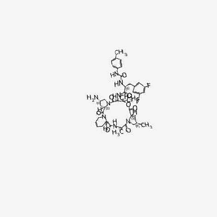 Cc1ccc(NC(=O)N[C@@H](Cc2cc(F)cc(F)c2)C(=O)N[C@@H]2C(=O)N3C[C@@H](N)C[C@H]3C(=O)N3CCCC[C@H]3C(=O)N[C@@H](C)C(=O)N3C[C@H](C)C[C@H]3C(=O)OC2(C)C)cc1